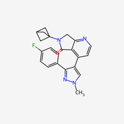 Cn1cc(-c2ccnc3c2C(=O)N(C24CC(C2)C4)C3)c(-c2ccc(F)cc2)n1